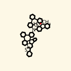 CC1(C)c2ccccc2-c2ccc(N(c3ccc4c(c3)-c3ccccc3-c3ccccc3C43c4ccccc4-c4cc5c(cc43)sc3ccccc35)c3cccc4c3Oc3ccccc3-c3ccccc3-4)cc21